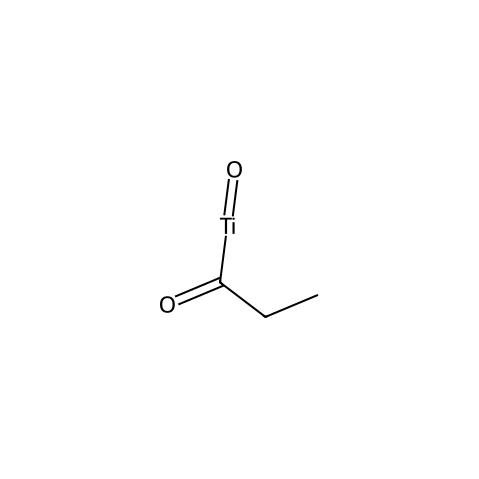 CC[C](=O)[Ti]=[O]